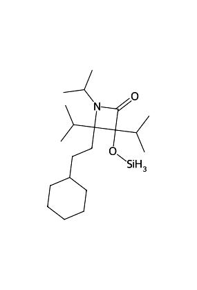 CC(C)N1C(=O)C(O[SiH3])(C(C)C)C1(CCC1CCCCC1)C(C)C